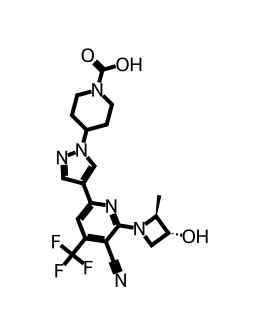 C[C@H]1[C@H](O)CN1c1nc(-c2cnn(C3CCN(C(=O)O)CC3)c2)cc(C(F)(F)F)c1C#N